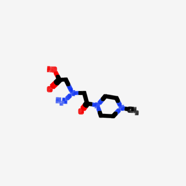 CN1CCN(C(=O)CN(N)CC(=O)O)CC1